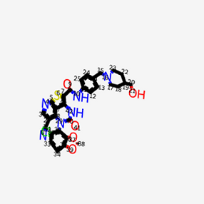 N#Cc1cnc2sc(C(=O)Nc3ccc(CN4CCC(CO)CC4)cc3)c3c2c1N(c1c(Cl)ccc2c1OCO2)C(=O)N3